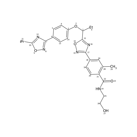 CCC(Oc1ccc(-c2noc(C(C)C)n2)cc1)c1nc(-c2ccc(C(=O)NCCO)c(C)c2)no1